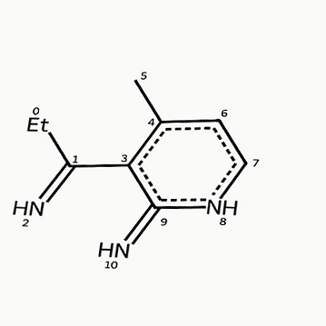 CCC(=N)c1c(C)cc[nH]c1=N